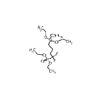 CCO[Si](C)(CCCC(F)(F)P(=O)(OCC)OCC)OCC